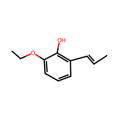 CC=Cc1cccc(OCC)c1O